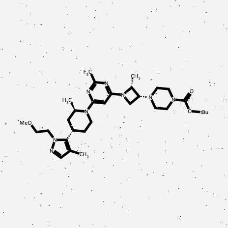 COCCn1ncc(C)c1[C@H]1CCN(c2cc(N3C[C@@H](N4CCN(C(=O)OC(C)(C)C)CC4)[C@H]3C)nc(C(F)(F)F)n2)[C@H](C)C1